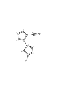 Cc1ccn(-c2sccc2C#N)n1